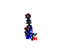 CCC[C@@H](CCO)Nc1nc(N)nc2cnn(Cc3ncc(C4CC5(C4)CN(C4CCOCC4)C5)cc3OC)c12